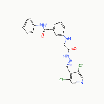 O=C(CNc1cccc(C(=O)Nc2ccccc2)c1)N/N=C/c1c(Cl)cncc1Cl